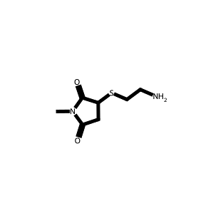 CN1C(=O)CC(SCCN)C1=O